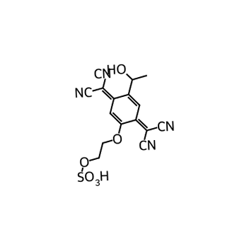 CC(O)c1cc(=C(C#N)C#N)c(OCCOS(=O)(=O)O)cc1=C(C#N)C#N